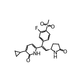 CS(=O)(=O)c1ccc(/C(=C\[C@H]2CCC(=O)N2)c2ccc(C3CC3)c(=O)[nH]2)cc1F